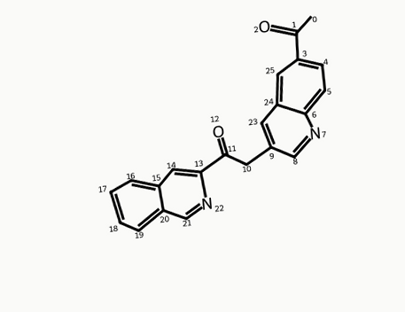 CC(=O)c1ccc2ncc(CC(=O)c3cc4ccccc4cn3)cc2c1